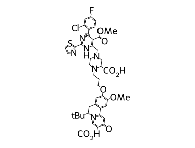 COC(=O)C1=C(CN2CCN(CCCOc3cc4c(cc3OC)-c3cc(=O)c(C(=O)O)cn3C(C(C)(C)C)C4)C(C(=O)O)C2)NC(c2nccs2)=N[C@H]1c1ccc(F)cc1Cl